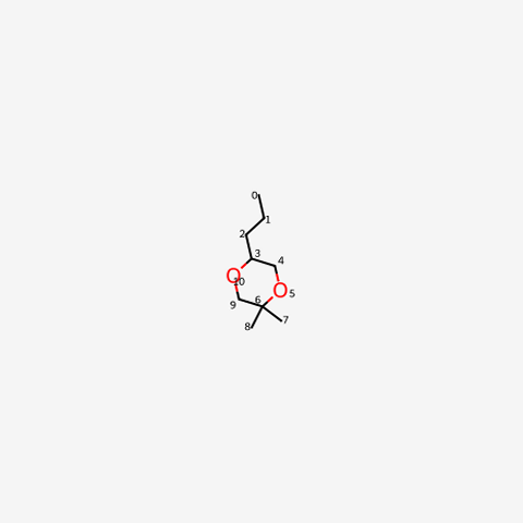 CCCC1COC(C)(C)CO1